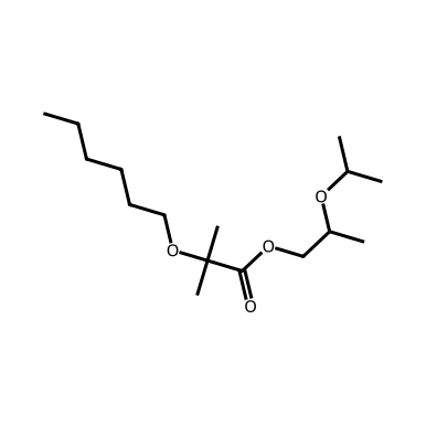 CCCCCCOC(C)(C)C(=O)OCC(C)OC(C)C